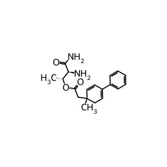 C[C@@H](OC(=O)CC1(C)C=CC(c2ccccc2)=CC1)[C@H](N)C(N)=O